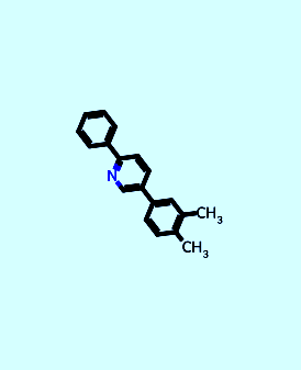 Cc1ccc(-c2ccc(-c3ccccc3)nc2)cc1C